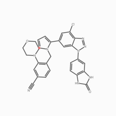 N#Cc1ccc(Cn2nccc2-c2cc(Cl)c3nnn(-c4ccc5[nH]c(=O)[nH]c5c4)c3c2)c(N2CCOCC2)c1